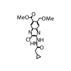 COCc1cc2nc(NNC(=O)CC3CC3)c(Cl)nc2cc1C(=O)OC